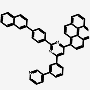 c1cncc(-c2cccc(-c3cc(-c4ccc5ccc6cccc7ccc4c5c67)nc(-c4ccc(-c5ccc6ccccc6c5)cc4)n3)c2)c1